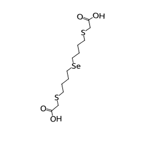 O=C(O)CSCCCC[Se]CCCCSCC(=O)O